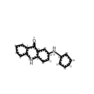 O=c1c2ccccc2[nH]c2ccc(Nc3ccccc3)cc12